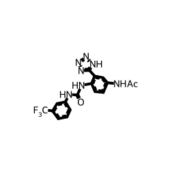 CC(=O)Nc1ccc(NC(=O)Nc2cccc(C(F)(F)F)c2)c(-c2nnn[nH]2)c1